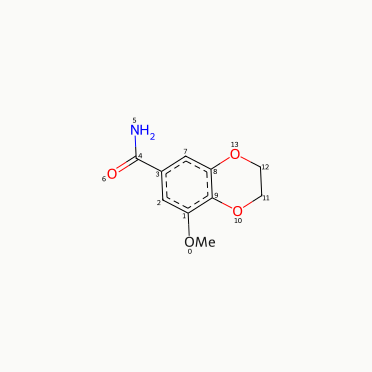 COc1cc(C(N)=O)cc2c1OCCO2